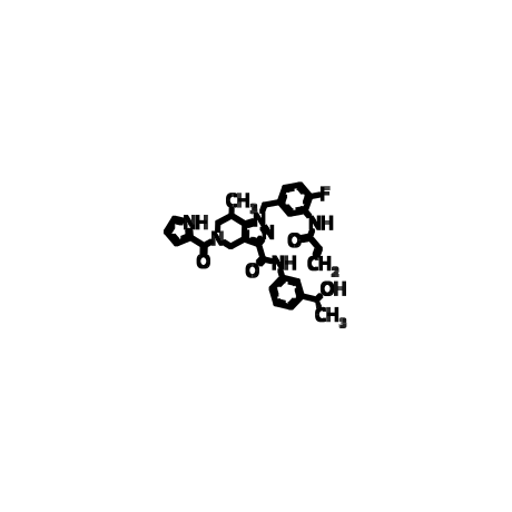 C=CC(=O)Nc1cc(Cn2nc(C(=O)Nc3cccc([C@H](C)O)c3)c3c2C(C)CN(C(=O)c2ccc[nH]2)C3)ccc1F